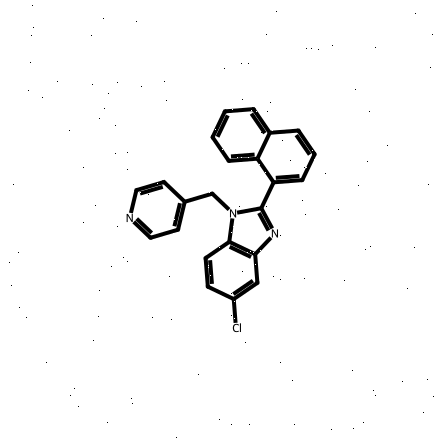 Clc1ccc2c(c1)nc(-c1cccc3ccccc13)n2Cc1ccncc1